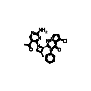 CC(=O)c1cnc(N)nc1N1C[C@H](C)[C@H]1c1nn2ccc(Cl)c2c(=O)n1-c1ccccc1